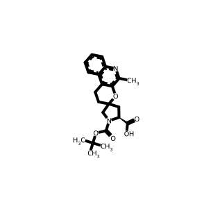 Cc1nc2ccccc2c2c1OC1(CC2)C[C@@H](C(=O)O)N(C(=O)OC(C)(C)C)C1